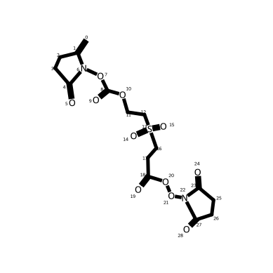 C=C1CCC(=O)N1OC(=O)OCCS(=O)(=O)CCC(=O)OON1C(=O)CCC1=O